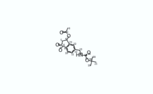 CC(=O)OC1CS(=O)(=O)c2ccc(CNC(=O)OC(C)(C)C)cc21